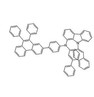 c1ccc(-c2cccc(N(c3ccc(-c4ccc5c(c4)c(-c4ccccc4)c(-c4ccccc4)c4ccccc45)cc3)c3cccc4c5ccccc5n(-c5ccc6ccccc6c5)c34)c2)cc1